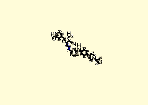 C=C(C#N)/C(=C\C=C\c1ncnc(Nc2ccc(N3CCN(C4COC4)CC3)cc2)n1)OCC1CCNC(=O)C1